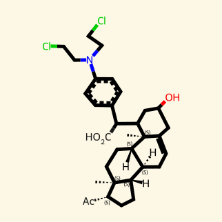 CC(=O)[C@H]1CC[C@H]2[C@@H]3CC=C4CC(O)CC(C(C(=O)O)c5ccc(N(CCCl)CCCl)cc5)[C@]4(C)[C@H]3CC[C@]12C